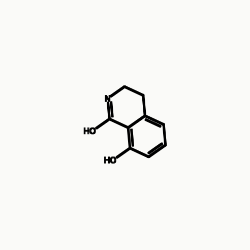 OC1=NCCc2cccc(O)c21